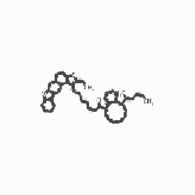 C=C(/C=C\C=C\C/C=c1\c(=C/C)sc2ccc3cc4oc5ccccc5c4cc3c12)c1ccccccc(/C(C)=C/C=C\C)c2ccccc12